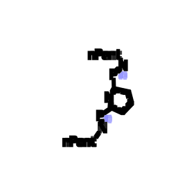 CCCCC/N=P/c1cccc(/P=N/CCCCC)n1